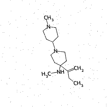 C=C(CC)C1(NC)CCN(C2CCN(C)CC2)CC1